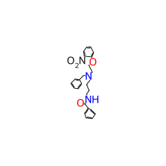 O=C(NCCCCN(CCOc1ccccc1[N+](=O)[O-])Cc1ccccc1)c1ccccc1